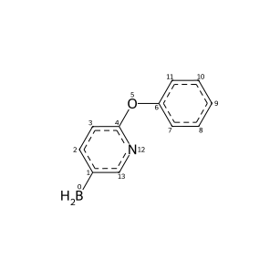 Bc1ccc(Oc2ccccc2)nc1